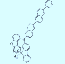 CC1(C)c2ccccc2-c2ccc(N(c3ccc4cc(-c5ccc6cc(-c7ccccc7)ccc6c5)ccc4c3)c3cccc4oc5ccccc5c34)cc21